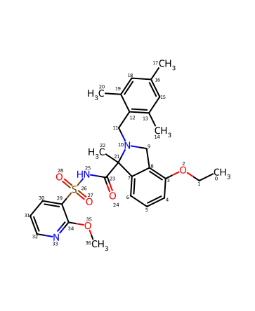 CCOc1cccc2c1CN(Cc1c(C)cc(C)cc1C)C2(C)C(=O)NS(=O)(=O)c1cccnc1OC